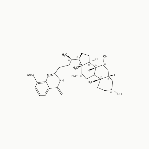 COc1cccc2c(=O)[nH]c(CC[C@@H](C)[C@H]3CC[C@H]4[C@H]5C(C[C@H](O)[C@]34C)[C@@]3(C)CC[C@@H](O)C[C@H]3C[C@H]5O)nc12